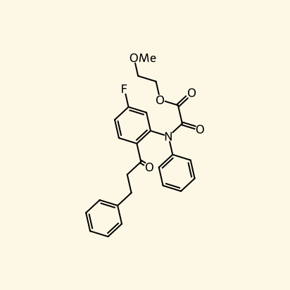 COCCOC(=O)C(=O)N(c1ccccc1)c1cc(F)ccc1C(=O)CCc1ccccc1